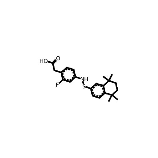 CC1(C)CCC(C)(C)c2cc(SNc3ccc(CC(=O)O)c(F)c3)ccc21